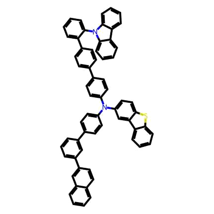 c1cc(-c2ccc(N(c3ccc(-c4ccc(-c5ccccc5-n5c6ccccc6c6ccccc65)cc4)cc3)c3ccc4sc5ccccc5c4c3)cc2)cc(-c2ccc3ccccc3c2)c1